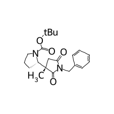 CC(C)(C)OC(=O)N1CCC[C@H]1[C@]1(C)CC(=O)N(Cc2ccccc2)C1=O